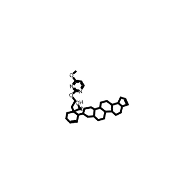 COc1ccnc(OCCC2(C(=O)O)CCC=CC2C2CCC3C(CCC4C3CCC3C5CC=CC5CCC34)C2)n1